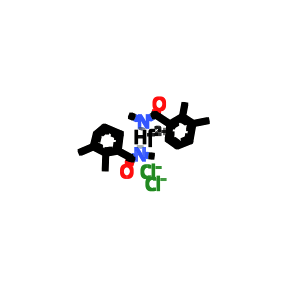 Cc1cccc(C(=O)[N](C)[Hf+2][N](C)C(=O)c2cccc(C)c2C)c1C.[Cl-].[Cl-]